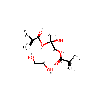 C=C(C)C(=O)OCC(C)(O)OC(=O)C(=C)C.OCCO